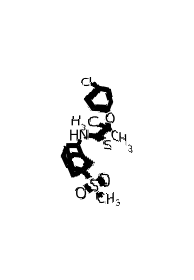 CC(C)(Oc1ccc(Cl)cc1)C(=S)NC1C2CC3CC1CC(S(C)(=O)=O)(C3)C2